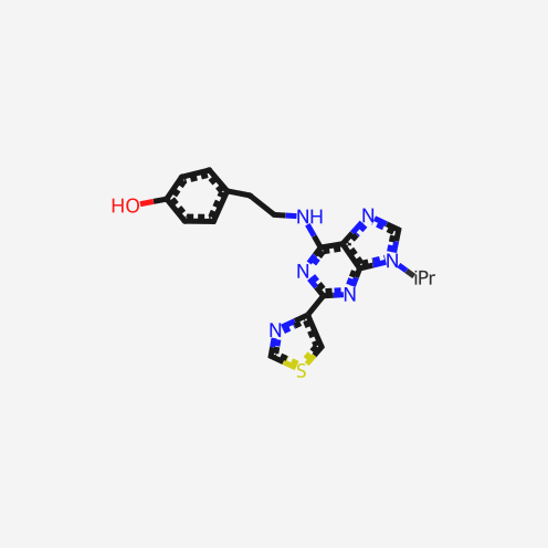 CC(C)n1cnc2c(NCCc3ccc(O)cc3)nc(-c3cscn3)nc21